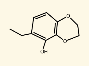 CCc1ccc2c(c1O)OCCO2